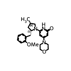 COc1ccccc1C[C@@H]1C[C@@H](C)CN1c1cc(N2CCOCC2)cc(=O)[nH]1